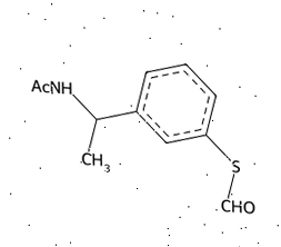 CC(=O)NC(C)c1cccc(SC=O)c1